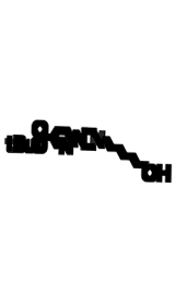 CC(C)(C)OC(=O)c1ccc(N2CCN(CCCCCCCO)CC2)nc1